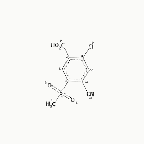 CS(=O)(=O)c1cc(C(=O)O)c(Cl)cc1C#N